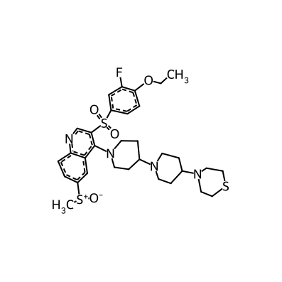 CCOc1ccc(S(=O)(=O)c2cnc3ccc([S+](C)[O-])cc3c2N2CCC(N3CCC(N4CCSCC4)CC3)CC2)cc1F